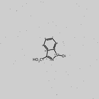 O=C(O)c1n[s+]([O-])c2ccccc12